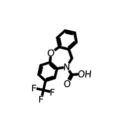 O=C(O)N1Cc2ccccc2Oc2ccc(C(F)(F)F)cc21